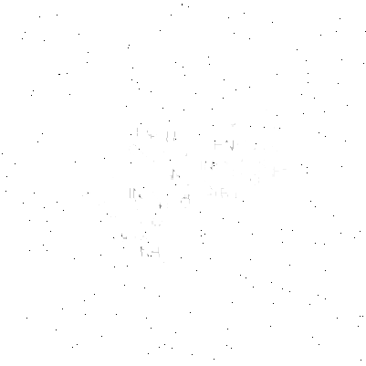 CCS(=O)(=O)CC1(NC(=O)N[C@H](C(=O)N2C[C@H]3C([C@H]2C(=O)NC(CC2CCC2)C(=O)C(N)=O)C3(C)C)C(C)(C)C)CCCCC1